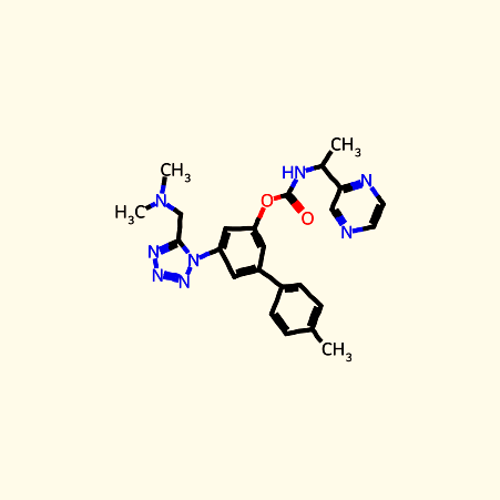 Cc1ccc(-c2cc(OC(=O)NC(C)c3cnccn3)cc(-n3nnnc3CN(C)C)c2)cc1